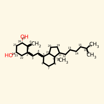 C=C1/C(=C\C=C2/CCC[C@]3(C)C(CCCCC(C)C)CCC23)C[C@H](O)C[C@@H]1O